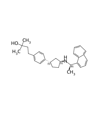 C[C@@H](N[C@H]1CC[C@H](c2ccc(CCC(C)(C)O)cc2)C1)c1cccc2ccccc12